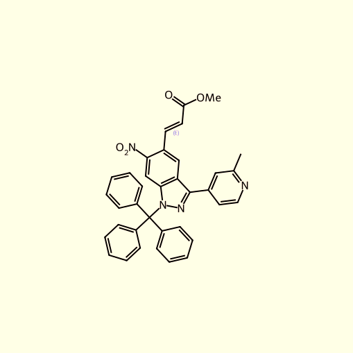 COC(=O)/C=C/c1cc2c(-c3ccnc(C)c3)nn(C(c3ccccc3)(c3ccccc3)c3ccccc3)c2cc1[N+](=O)[O-]